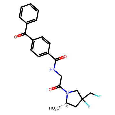 O=C(NCC(=O)N1CC(F)(CF)C[C@@H]1C(=O)O)c1ccc(C(=O)c2ccccc2)cc1